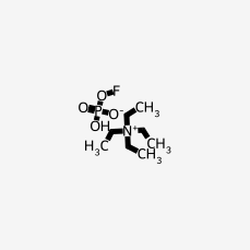 CC[N+](CC)(CC)CC.O=P([O-])(O)OF